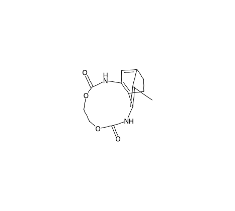 Cc1c2cc3c(c1NC(=O)OCCOC(=O)N3)CC2